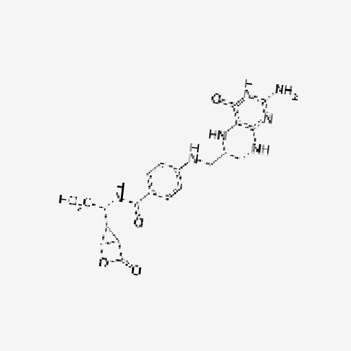 Nc1nc2c(c(=O)[nH]1)NC(CNc1ccc(C(=O)NC(C(=O)O)C3C4OC(=O)C43)cc1)CN2